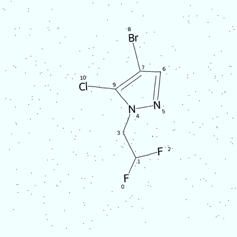 FC(F)Cn1ncc(Br)c1Cl